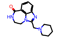 O=C1NCCn2c(CN3CCCCC3)nc3cccc1c32